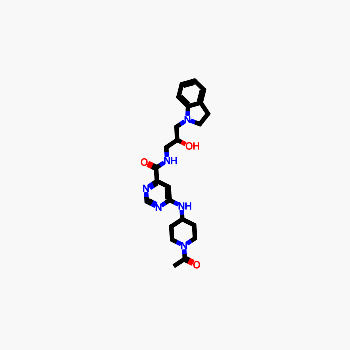 CC(=O)N1CCC(Nc2cc(C(=O)NCC(O)CN3CCc4ccccc43)ncn2)CC1